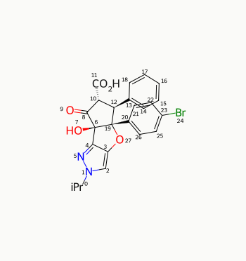 CC(C)n1cc2c(n1)[C@]1(O)C(=O)[C@H](C(=O)O)[C@@H](c3ccccc3)[C@]1(c1ccc(Br)cc1)O2